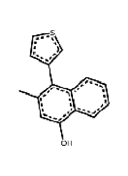 Cc1cc(O)c2ccccc2c1-c1ccsc1